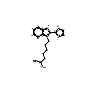 OB(O)CCCCCn1c(-c2nccs2)nc2ccccc21